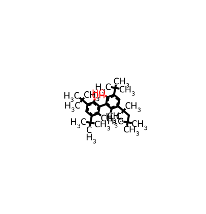 Cc1c(C(C)(C)C)cc(C(C)(C)C)c(O)c1-c1c(C)c(C(C)(C)CC(C)(C)C)cc(C(C)(C)C)c1O